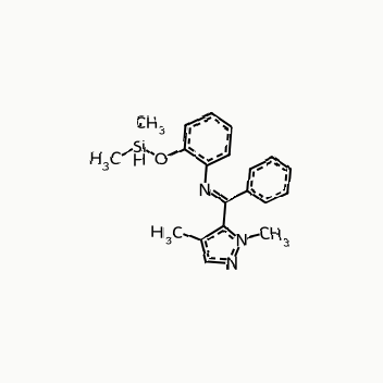 Cc1cnn(C)c1C(=Nc1ccccc1O[SiH](C)C)c1ccccc1